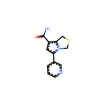 NC(=O)c1cc(-c2cccnc2)n2c1CSC2